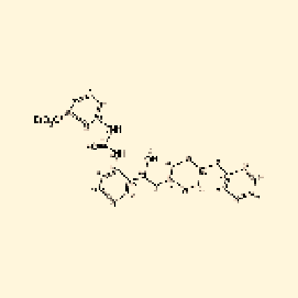 CCOC(=O)c1cccc(NC(=O)Nc2ccccc2C(O)CN2CCC(Cc3ccccc3)CC2)c1